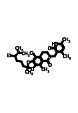 CCC(CCCC1(C)Oc2c(C)c3c(c(Cl)c2O1)CCN(Cc1c(C)cc(C)[nH]c1=O)C3=O)N(C)C